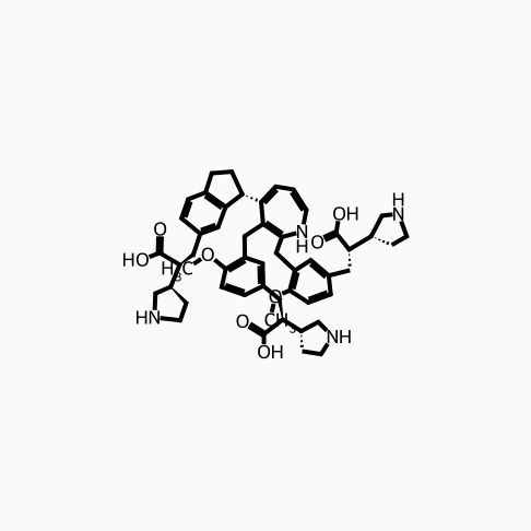 COc1ccc(C[C@H](C(=O)O)[C@H]2CCNC2)cc1CC1=C(Cc2cc(C[C@H](C(=O)O)[C@H]3CCNC3)ccc2OC)C([C@H]2CCc3ccc(C[C@H](C(=O)O)[C@H]4CCNC4)cc32)=CC=CN1